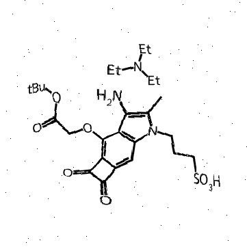 CCN(CC)CC.Cc1c(N)c2c(OCC(=O)OC(C)(C)C)c3c(=O)c(=O)c3cc2n1CCCS(=O)(=O)O